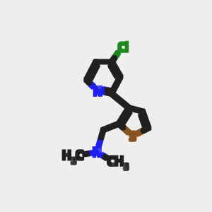 CN(C)Cc1sccc1-c1cc(Cl)ccn1